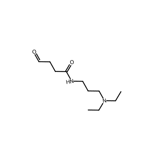 CCN(CC)CCCNC(=O)CCC=O